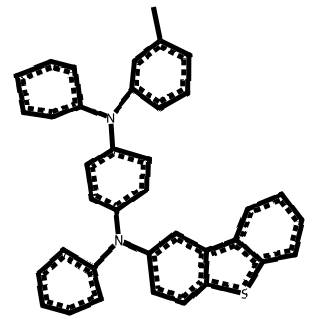 Cc1cccc(N(c2ccccc2)c2ccc(N(c3ccccc3)c3ccc4sc5ccccc5c4c3)cc2)c1